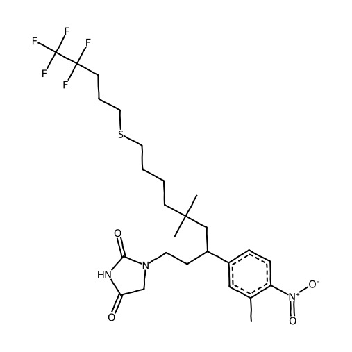 Cc1cc(C(CCN2CC(=O)NC2=O)CC(C)(C)CCCCSCCCC(F)(F)C(F)(F)F)ccc1[N+](=O)[O-]